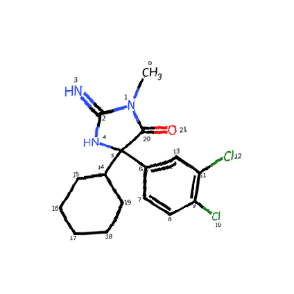 CN1C(=N)NC(c2ccc(Cl)c(Cl)c2)(C2CCCCC2)C1=O